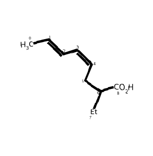 C/C=C/C=C\CC(CC)C(=O)O